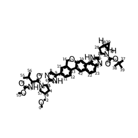 COC[C@H]1C[C@@H](c2ncc(-c3ccc4c(c3)COc3cc5c(ccc6nc([C@@H]7C[C@H]8C[C@H]8N7C(=O)OC(C)(C)C)[nH]c65)cc3-4)[nH]2)N(C(=O)[C@@H](NC(=O)OC)C(C)C)C1